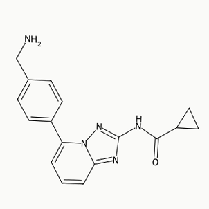 NCc1ccc(-c2cccc3nc(NC(=O)C4CC4)nn23)cc1